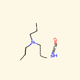 CCCN(CCC)CCC.N=C=O